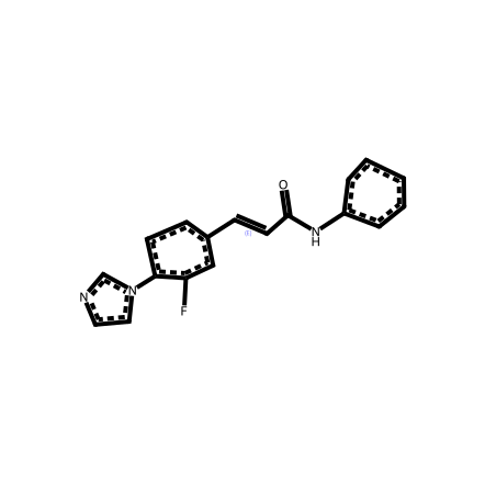 O=C(/C=C/c1ccc(-n2ccnc2)c(F)c1)Nc1ccccc1